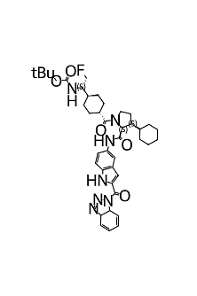 CC(C)(C)OC(=O)N[C@H](CF)[C@H]1CC[C@H](C(=O)N2CC[C@@H](C3CCCCC3)[C@H]2C(=O)Nc2ccc3[nH]c(C(=O)N4N=NC5C=CC=CC54)cc3c2)CC1